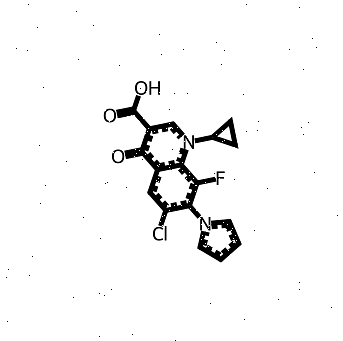 O=C(O)c1cn(C2CC2)c2c(F)c(-n3cccc3)c(Cl)cc2c1=O